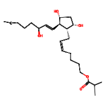 CCCCC[C@H](O)/C=C/[C@@H]1[C@@H](C/C=C\CCCCOC(=O)C(C)C)[C@@H](O)C[C@H]1O